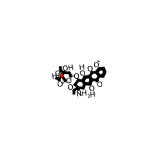 COc1cccc2c1C(=O)c1c(O)c3c(c(O)c1C2=O)CC(N)(C(C)=O)CC3O[C@H]1C[C@](O)(C(C)=O)[C@](O)(C(C)=O)[C@@H](C)O1